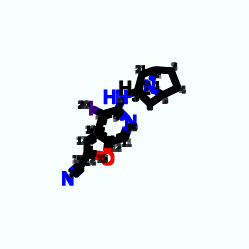 CN1C2CCC1CC(Nc1ncc3oc(C#N)cc3c1I)C2